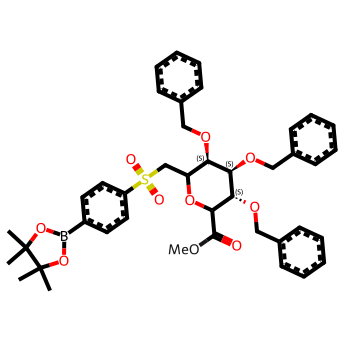 COC(=O)C1OC(CS(=O)(=O)c2ccc(B3OC(C)(C)C(C)(C)O3)cc2)[C@@H](OCc2ccccc2)[C@@H](OCc2ccccc2)[C@@H]1OCc1ccccc1